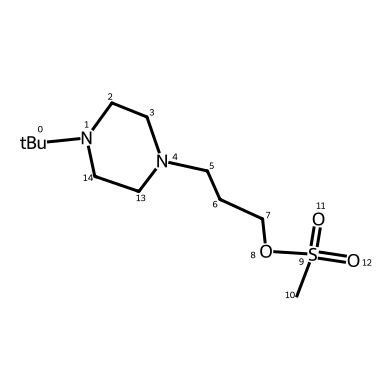 CC(C)(C)N1CCN(CCCOS(C)(=O)=O)CC1